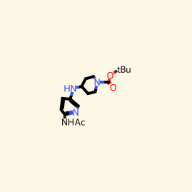 CC(=O)Nc1ccc(NC2CCN(C(=O)OC(C)(C)C)CC2)cn1